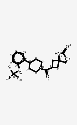 O=C1NC2(CO1)CC(C(=O)N1CCC(c3ccccc3OC(F)(F)F)CC1)C2